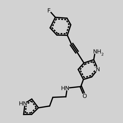 Nc1ncc(C(=O)NCCCc2cc[nH]c2)cc1C#Cc1ccc(F)cc1